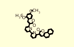 COc1cc(OC)c2cc(-c3cccc(-c4cccc(-c5cc6ccc7ccccc7c6oc5=O)n4)n3)c(=O)oc2c1